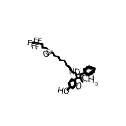 CC1(C(O)c2ccccc2)COc2cc(O)ccc2C1CCCCCCCCC[S+]([O-])CCCC(F)(F)C(F)(F)F